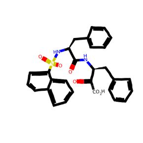 O=C(O)C(=O)[C@H](Cc1ccccc1)NC(=O)[C@H](Cc1ccccc1)NS(=O)(=O)c1cccc2ccccc12